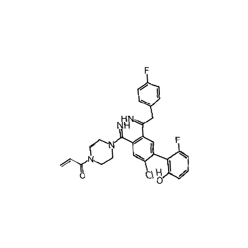 C=CC(=O)N1CCN(C(=N)c2cc(Cl)c(-c3c(O)cccc3F)cc2C(=N)Cc2ccc(F)cc2)CC1